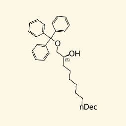 CCCCCCCCCCCCCCCC[C@H](O)COC(c1ccccc1)(c1ccccc1)c1ccccc1